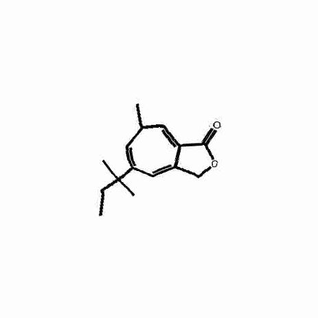 CCC(C)(C)C1=CC(C)C=C2C(=O)OCC2=C1